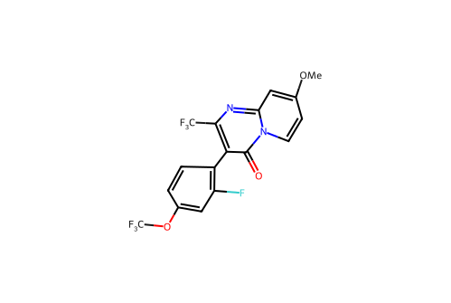 COc1ccn2c(=O)c(-c3ccc(OC(F)(F)F)cc3F)c(C(F)(F)F)nc2c1